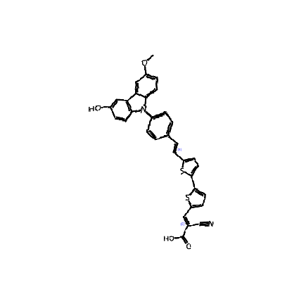 COc1ccc2c(c1)c1cc(O)ccc1n2-c1ccc(/C=C/c2ccc(-c3ccc(/C=C(\C#N)C(=O)O)s3)s2)cc1